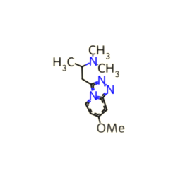 COc1ccn2c(CC(C)N(C)C)nnc2c1